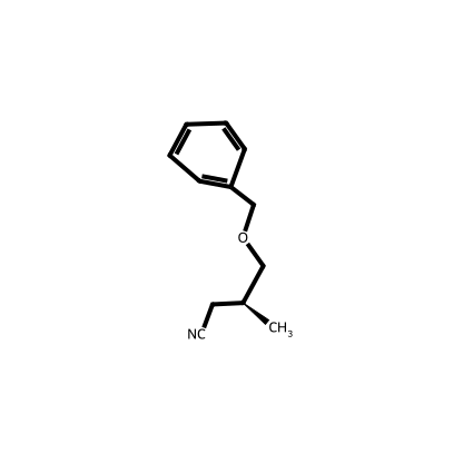 C[C@@H](CC#N)COCc1ccccc1